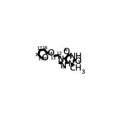 CN1C(=O)NC(=O)C2C1N=CN2CCOC1CCCCO1